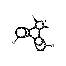 O=c1[nH]c(=O)c2c1c1c3ccc(Cl)c(c3)c1c1c3ccc(Cl)c(c3)c21